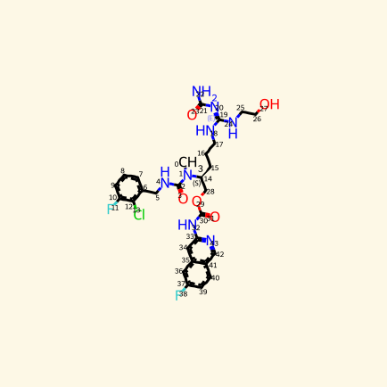 CN(C(=O)NCc1cccc(F)c1Cl)[C@@H](CCCN/C(=N\C(N)=O)NCCO)COC(=O)Nc1cc2cc(F)ccc2cn1